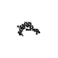 COc1nc(-c2ccnc(-c3cccc(NC(=O)c4nc5c(n4C)CCN(CC(N)=O)C5)c3Cl)c2Cl)ccc1CNC[C@H]1CCC(=O)N1